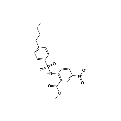 CCCCc1ccc(S(=O)(=O)Nc2ccc([N+](=O)[O-])cc2C(=O)OC)cc1